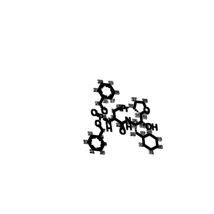 CC(C)CC(NP(=O)(OCc1ccccc1)OCc1ccccc1)C(=O)N[C@@H](CC1CCCCC1)[C@@H](O)[C@@H]1CCCO1